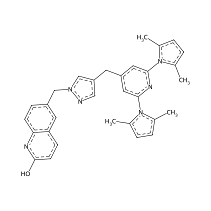 Cc1ccc(C)n1-c1cc(Cc2cnn(Cc3ccc4nc(O)ccc4c3)c2)cc(-n2c(C)ccc2C)n1